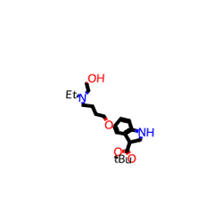 CCN(CCO)CCCCOc1ccc2c(c1)C(C(=O)OC(C)(C)C)CN2